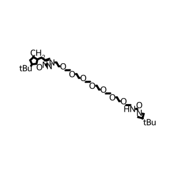 C=C1CC(C(C)(C)C)C(=O)C1Cc1cn(CCOCCOCCOCCOCCOCCOCCOCCNC(=O)N2CC(C(C)(C)C)C2)nn1